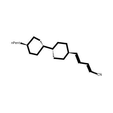 CCCCC[C@H]1CC[C@H]([C@H]2CC[C@H](C=CC=CC#N)CC2)CC1